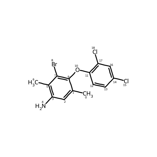 Cc1cc(N)c(C)c(Br)c1Oc1ccc(Cl)cc1Cl